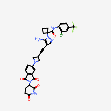 Nc1c(C#CC2CN(c3ccc4c(c3)C(=O)N(C3CCC(=O)NC3=O)C4=O)C2)cnn1C1(C(=O)Nc2ccc(C(F)(F)F)cc2Cl)CCC1